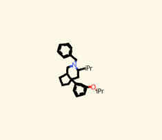 CC(C)Oc1cccc(C23CCCC2CN(Cc2ccccc2)C(C(C)C)C3)c1